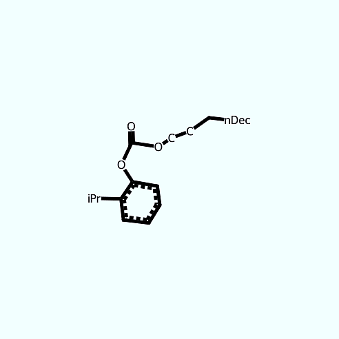 CCCCCCCCCCCCCOC(=O)Oc1ccccc1C(C)C